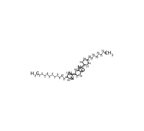 CCCCCCCCCCCCc1cnc(-c2ccc3oc(-c4ccc(CCCCCCCC)cc4)nc3c2)nc1